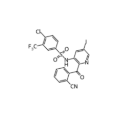 N#Cc1ccccc1C(=O)c1ncc(I)cc1NS(=O)(=O)c1ccc(Cl)c(C(F)(F)F)c1